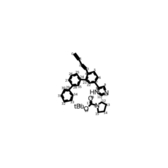 C#CC#Cc1ccc(-c2cnc([C@@H]3CCCN3C(=O)OC(C)(C)C)[nH]2)cc1-c1cccc(-c2ccccc2)c1